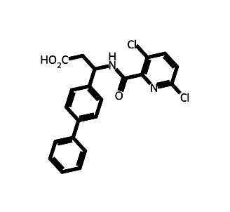 O=C(O)CC(NC(=O)c1nc(Cl)ccc1Cl)c1ccc(-c2ccccc2)cc1